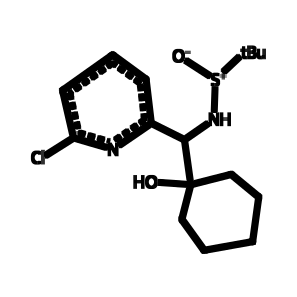 CC(C)(C)[S+]([O-])NC(c1cccc(Cl)n1)C1(O)CCCCC1